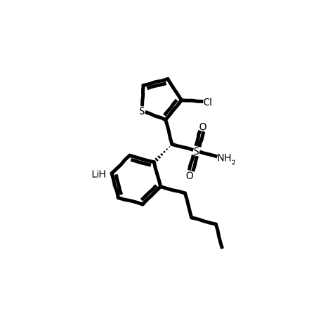 CCCCc1ccccc1[C@H](c1sccc1Cl)S(N)(=O)=O.[LiH]